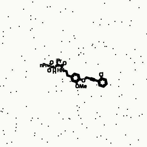 CCCS(=O)(=O)N[C@H](C(=O)NCCc1ccc(OCC#Cc2ccccc2Cl)c(OC)c1)C(C)C